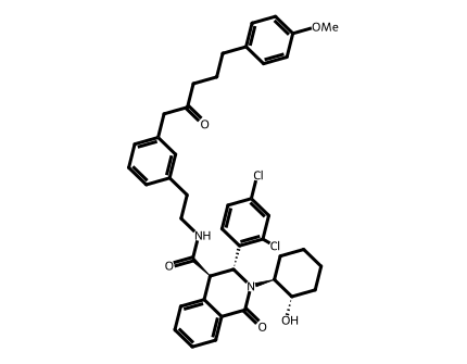 COc1ccc(CCCC(=O)Cc2cccc(CCNC(=O)[C@@H]3c4ccccc4C(=O)N([C@H]4CCCC[C@@H]4O)[C@H]3c3ccc(Cl)cc3Cl)c2)cc1